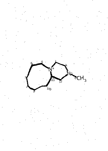 CN1CCN2CCCCCCC2C1